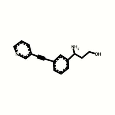 NC(CCO)c1cccc(C#Cc2cccnc2)c1